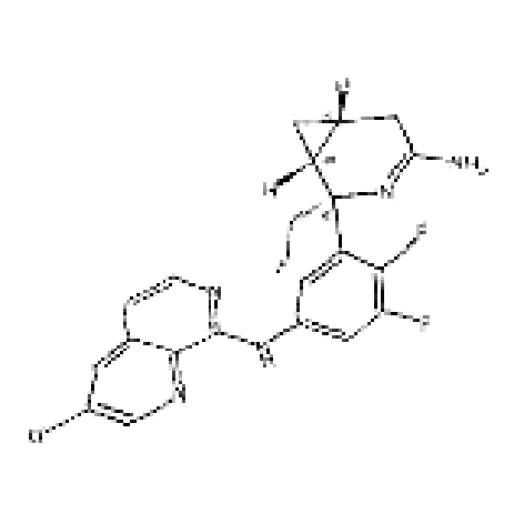 NC1=N[C@@](CF)(c2cc(Nc3nccc4cc(Cl)cnc34)cc(F)c2F)[C@@H]2C[C@@H]2C1